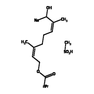 CCCC(=O)OCC=C(C)CCC=C(C)[CH](O)[Na].CS(=O)(=O)O